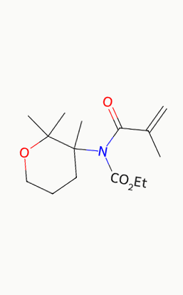 C=C(C)C(=O)N(C(=O)OCC)C1(C)CCCOC1(C)C